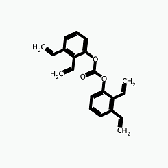 C=Cc1cccc(OC(=O)Oc2cccc(C=C)c2C=C)c1C=C